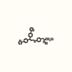 CCOC(=O)[C@H](Cc1ccc(OCC=C(c2ccc(-c3ccco3)cc2)c2ccc(-c3ccco3)cc2)cc1)OCC